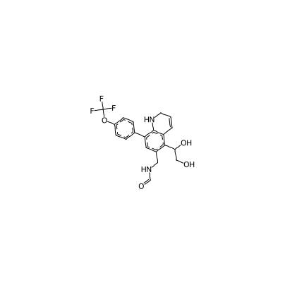 O=CNCc1cc(-c2ccc(OC(F)(F)F)cc2)c2c(c1C(O)CO)C=CCN2